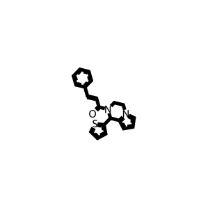 O=C(/C=C/c1ccccc1)N1CCn2cccc2C1c1cccs1